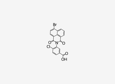 O=C(O)c1ccc(Cl)c(N2C(=O)c3cccc4c(Br)ccc(c34)C2=O)c1